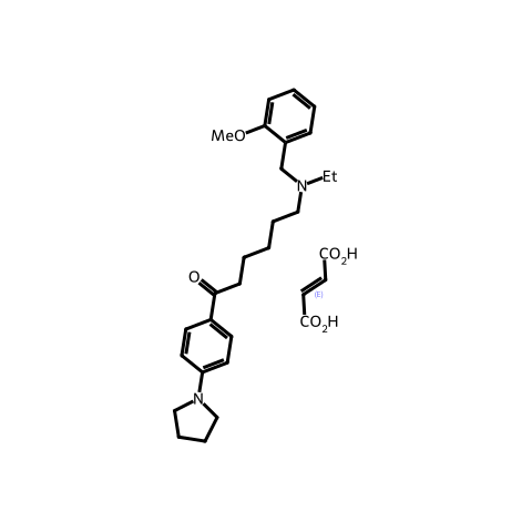 CCN(CCCCCC(=O)c1ccc(N2CCCC2)cc1)Cc1ccccc1OC.O=C(O)/C=C/C(=O)O